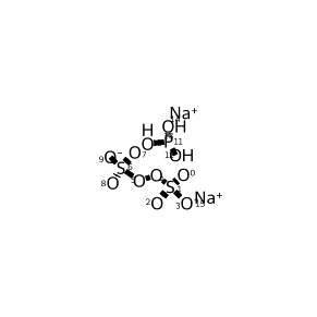 O=S(=O)([O-])OOS(=O)(=O)[O-].OP(O)O.[Na+].[Na+]